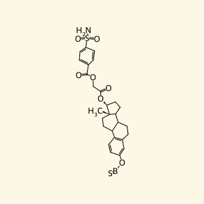 C[C@]12CCC3c4ccc(OB=S)cc4CCC3C1CC[C@@H]2OC(=O)COC(=O)c1ccc(S(N)(=O)=O)cc1